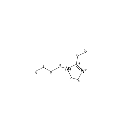 CCCCN1CCN=C1CC